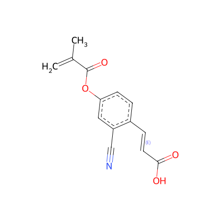 C=C(C)C(=O)Oc1ccc(/C=C/C(=O)O)c(C#N)c1